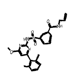 C=CCNC(=O)c1cccc(S(=O)(=O)Nc2nc(OC)cc(-c3c(C)cccc3C)n2)c1